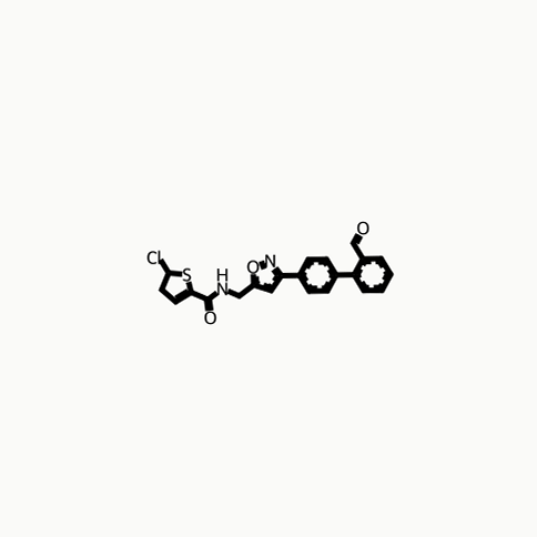 O=Cc1ccccc1-c1ccc(-c2cc(CNC(=O)C3=CCC(Cl)S3)on2)cc1